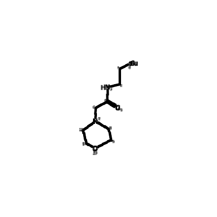 CC(C)(C)CCNC(=O)CN1CCOCC1